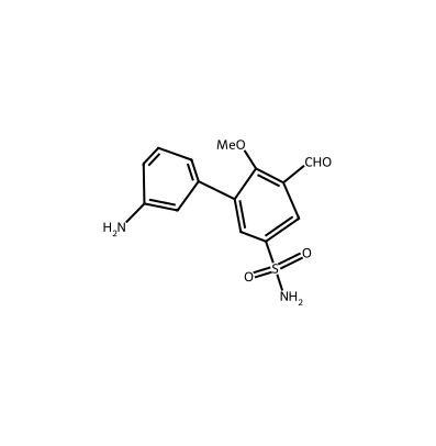 COc1c(C=O)cc(S(N)(=O)=O)cc1-c1cccc(N)c1